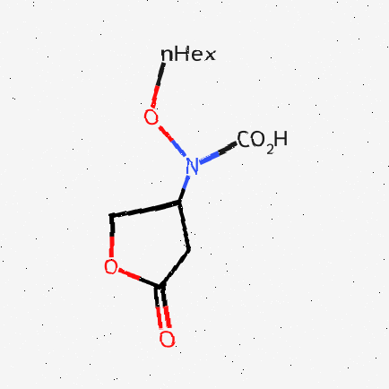 CCCCCCON(C(=O)O)C1COC(=O)C1